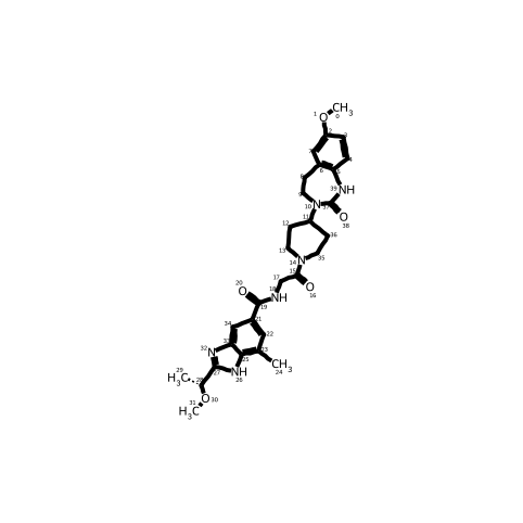 COc1ccc2c(c1)CCN(C1CCN(C(=O)CNC(=O)c3cc(C)c4[nH]c([C@@H](C)OC)nc4c3)CC1)C(=O)N2